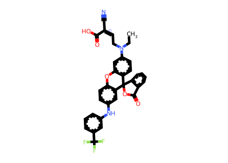 CCN(C/C=C(/C#N)C(=O)O)c1ccc2c(c1)Oc1ccc(Nc3cccc(C(F)(F)F)c3)cc1C21OC(=O)c2ccccc21